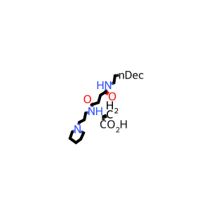 C=CC(=O)O.CCCCCCCCCCCCNC(=O)CCC(=O)NCCCN1CCCCC1